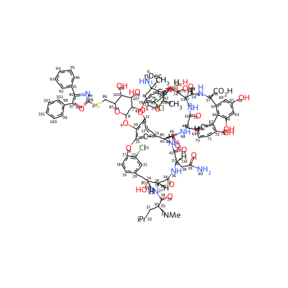 CCCCCCCCCCNC1(C)CC(OC2C(Oc3c4cc5cc3Oc3ccc(cc3Cl)[C@@H](O)[C@@H](NC(=O)[C@H](CC(C)C)NC)C(=O)N[C@@H](CC(N)=O)C(=O)N[C@H]5C(=O)N[C@H]3C(=O)N[C@H](C(=O)N[C@@H](C(=O)O)c5cc(O)cc(O)c5-c5cc3ccc5O)[C@H](O)c3ccc(c(Cl)c3)O4)OC(CSc3nc(-c4ccccc4)c(-c4ccccc4)o3)C(O)C2O)OC(C)C1O